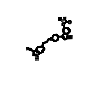 N#Cc1c[nH]c2ccc(CCCN3CCC(c4c[nH]c5ccc(OC(N)=O)cc45)CC3)cc12